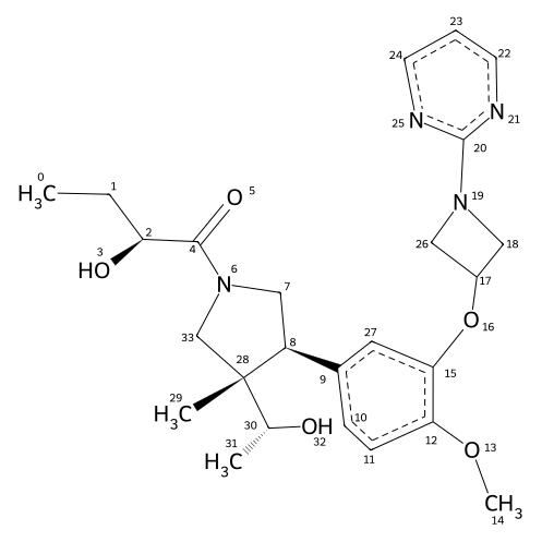 CC[C@H](O)C(=O)N1C[C@@H](c2ccc(OC)c(OC3CN(c4ncccn4)C3)c2)[C@](C)([C@@H](C)O)C1